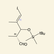 C/C(=C\I)C(O[Si](C)(C)C(C)(C)C)[C@@H](C)C=O